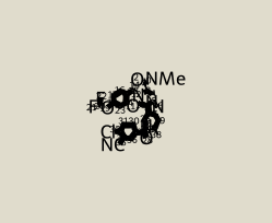 CNC(=O)[C@H]1Cn2nc3c(c2C(=O)N1[C@@H](C)c1ccc(OC(F)F)cc1)CN(C(=O)c1ccc(Cl)c(C#N)c1)[C@H](C)C3